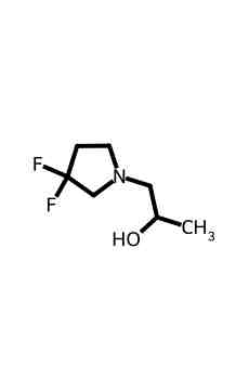 CC(O)CN1CCC(F)(F)C1